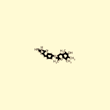 Cc1c(C)c2c(c(C)c1O)CCC(C)(COc1ccc(CC3SC(=N)NC3=O)cc1)O2